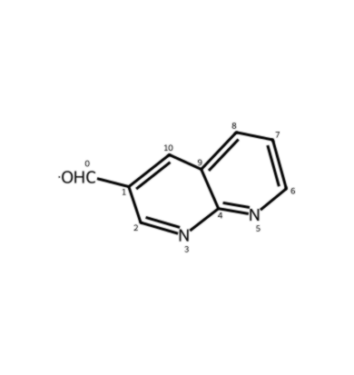 O=[C]c1cnc2ncccc2c1